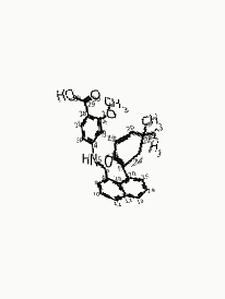 COc1cc(NC(=O)c2cccc3cccc(C4=CC=CC(C)(C)C4)c23)ccc1C(=O)O